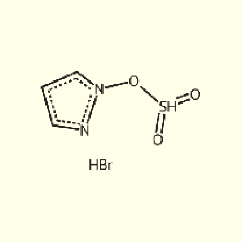 Br.O=[SH](=O)On1cccn1